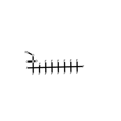 O=S(=O)(OS)C(F)(F)C(F)(F)C(F)(F)C(F)(F)C(F)(F)C(F)(F)C(F)(F)C(F)(F)F